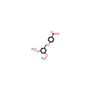 COc1cc(COc2ccc(C(=O)O)cc2)cc(OC)c1